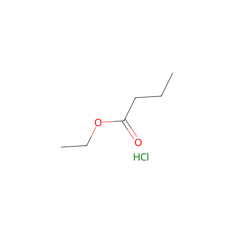 CCCC(=O)OCC.Cl